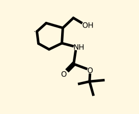 CC(C)(C)OC(=O)NC1CC[CH]CC1CO